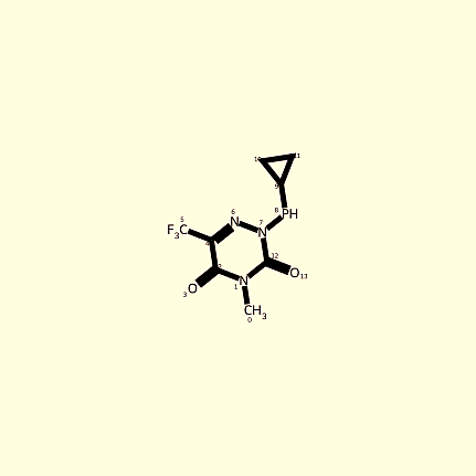 Cn1c(=O)c(C(F)(F)F)nn(PC2CC2)c1=O